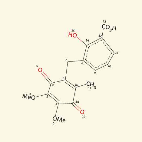 COC1=C(OC)C(=O)C(Cc2cccc(C(=O)O)c2O)=C(C)C1=O